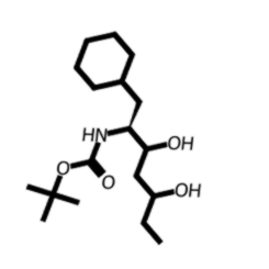 CCC(O)CC(O)[C@H](CC1CCCCC1)NC(=O)OC(C)(C)C